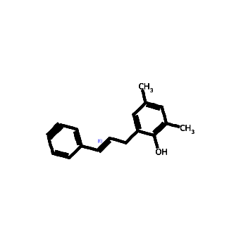 Cc1cc(C)c(O)c(C/C=C/c2cc#ccc2)c1